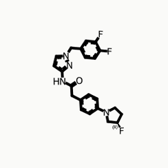 O=C(Cc1ccc(N2CC[C@@H](F)C2)cc1)Nc1ccn(Cc2ccc(F)c(F)c2)n1